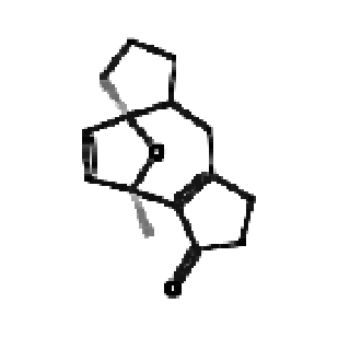 C[C@@]12C=C[C@]3(CCCC3CC3=C1C(=O)CC3)O2